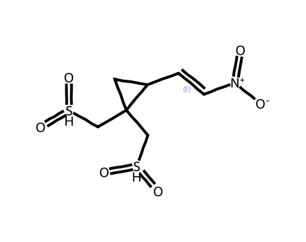 O=[N+]([O-])/C=C/C1CC1(C[SH](=O)=O)C[SH](=O)=O